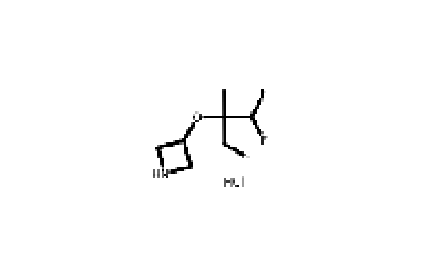 CC(CF)(OC1CNC1)C(F)F.Cl